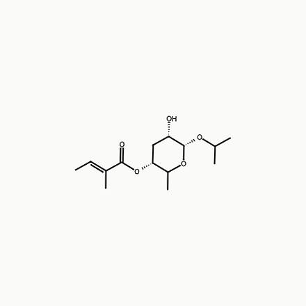 C/C=C(\C)C(=O)O[C@@H]1C[C@H](O)[C@H](OC(C)C)OC1C